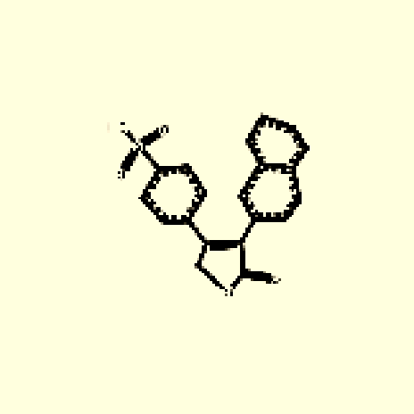 CS(=O)(=O)c1ccc(C2=C(c3ccc4ccccc4c3)C(=O)OC2)cc1